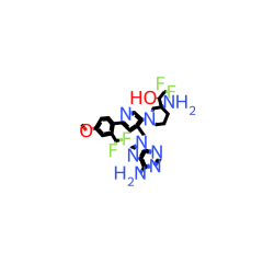 COc1ccc(-c2cc(Cn3cnc4c(N)ncnc43)c(N3CCCC(N)([C@H](O)C(F)F)C3)cn2)c(C(F)F)c1